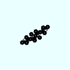 c1ccc(-c2c3c4cccc5c6cc7c(cc6n(c3c(-c3ccccc3)c3c6cccc8c9cc%10c(cc9n(c23)c86)c2ccccc2n%10-c2cccc3c2oc2ccccc23)c54)c2ccccc2n7-c2cccc3c2oc2ccccc23)cc1